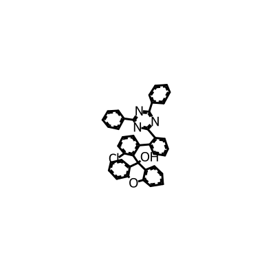 OC1(c2c(Cl)cccc2-c2ccccc2-c2nc(-c3ccccc3)nc(-c3ccccc3)n2)c2ccccc2Oc2ccccc21